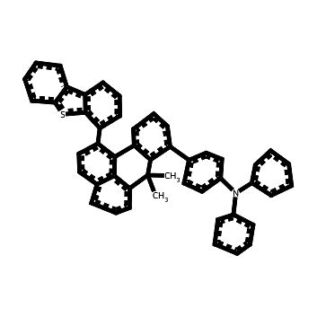 CC1(C)c2c(-c3ccc(N(c4ccccc4)c4ccccc4)cc3)cccc2-c2c(-c3cccc4c3sc3ccccc34)ccc3cccc1c23